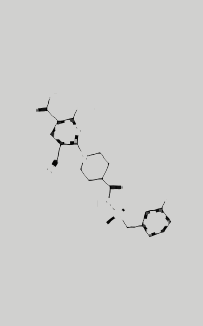 Cc1nc(N2CCC(C(=O)NS(=O)(=O)Cc3cccc(Cl)c3)CC2)c(C#N)cc1C(=O)O